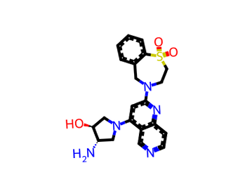 N[C@H]1CN(c2cc(N3CCS(=O)(=O)c4ccccc4C3)nc3ccncc23)C[C@@H]1O